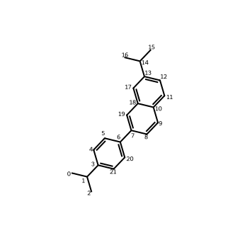 CC(C)c1ccc(-c2ccc3ccc(C(C)C)cc3c2)cc1